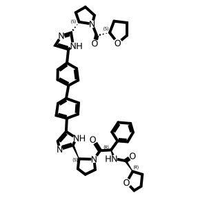 O=C(N[C@@H](C(=O)N1CCC[C@H]1c1ncc(-c2ccc(-c3ccc(-c4cnc([C@@H]5CCCN5C(=O)[C@@H]5CCCO5)[nH]4)cc3)cc2)[nH]1)c1ccccc1)[C@H]1CCCO1